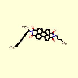 CC#CC#CC#CC(CCCCCCC)N1C(=O)c2ccc3c4ccc5c6c(ccc(c7ccc(c2c37)C1=O)c64)C(=O)N(CCCC(C)(C)C)C5=O